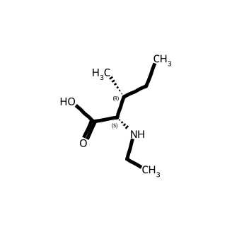 CCN[C@H](C(=O)O)[C@H](C)CC